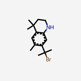 Cc1cc2c(cc1C(C)(C)Br)NCCC2(C)C